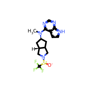 CN(c1ncnc2[nH]ccc12)[C@H]1CC2CN([S+]([O-])C(F)(F)F)C[C@@H]2C1